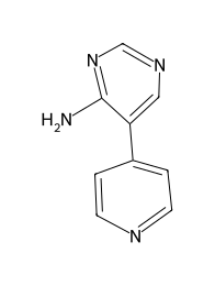 Nc1ncncc1-c1ccncc1